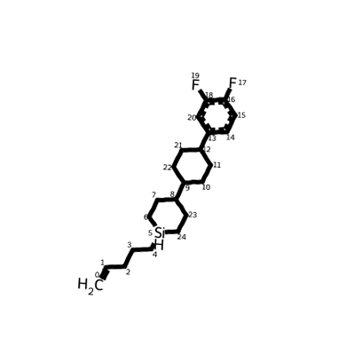 C=CCCC[SiH]1CCC(C2CCC(c3ccc(F)c(F)c3)CC2)CC1